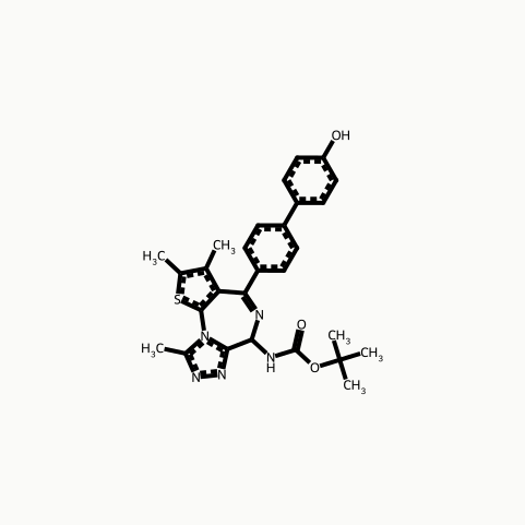 Cc1sc2c(c1C)C(c1ccc(-c3ccc(O)cc3)cc1)=NC(NC(=O)OC(C)(C)C)c1nnc(C)n1-2